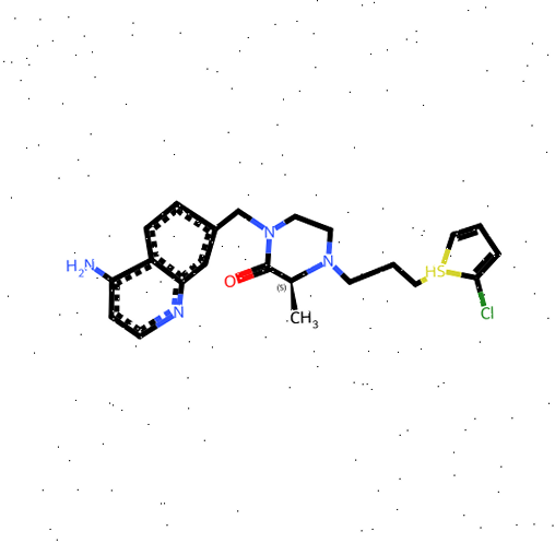 C[C@H]1C(=O)N(Cc2ccc3c(N)ccnc3c2)CCN1CCC[SH]1C=CC=C1Cl